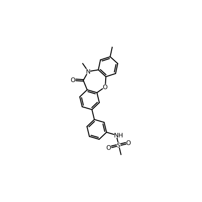 Cc1ccc2c(c1)N(C)C(=O)c1ccc(-c3cccc(NS(C)(=O)=O)c3)cc1O2